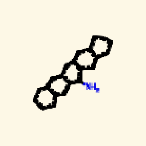 Nc1c2cc3ccccc3cc2cc2cc3ccccc3cc12